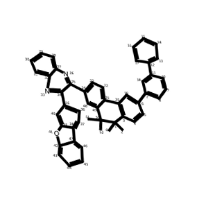 CC1(C)c2ccc(-c3cccc(-c4ccccc4)c3)cc2-c2ccc(-c3nc4ccccc4nc3-c3ccc4c(c3)oc3ccccc34)cc2C1(C)C